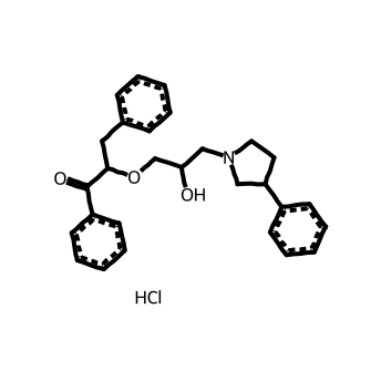 Cl.O=C(c1ccccc1)C(Cc1ccccc1)OCC(O)CN1CCC(c2ccccc2)C1